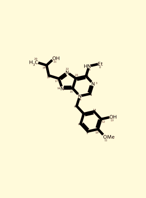 CCNc1ncn(Cc2ccc(OC)c(O)c2)c2nc(CC(C)O)nc1-2